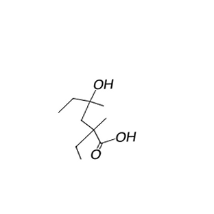 CCC(C)(O)CC(C)(CC)C(=O)O